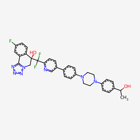 CC(O)c1ccc(N2CCN(c3ccc(-c4ccc(C(F)(F)[C@]5(O)Cn6nnnc6-c6cc(F)ccc65)nc4)cc3)CC2)cc1